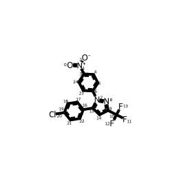 O=[N+]([O-])c1ccc(-n2nc(C(F)(F)F)cc2-c2ccc(Cl)cc2)cc1